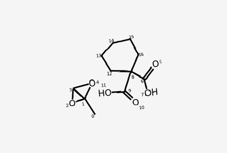 CC12OC1O2.O=C(O)C1(C(=O)O)CCCCC1